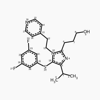 CC(C)c1nc(CCCO)n(CCc2ccncc2)c1Sc1cc(F)cc(F)c1